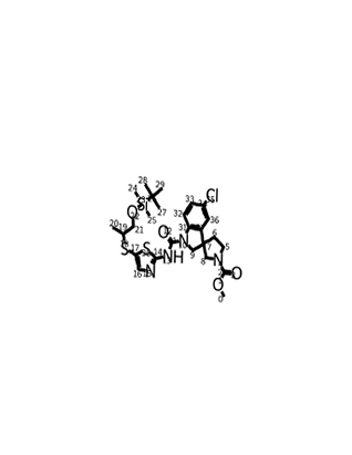 COC(=O)N1CCC2(C1)CN(C(=O)Nc1ncc(SC(C)CO[Si](C)(C)C(C)(C)C)s1)c1ccc(Cl)cc12